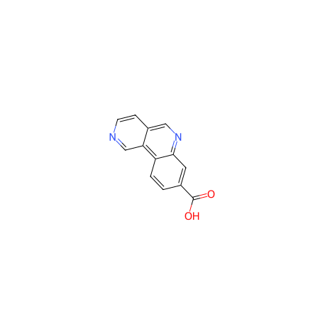 O=C(O)c1ccc2c(c1)ncc1ccncc12